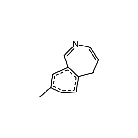 Cc1ccc2c(c1)C=NC=CC2